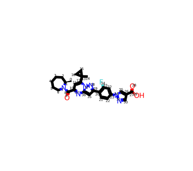 C[C@@H]1CCCCCN1C(=O)c1cc(C2(C)CC2)n2nc(-c3ccc(-n4cc(C(=O)O)cn4)cc3F)cc2n1